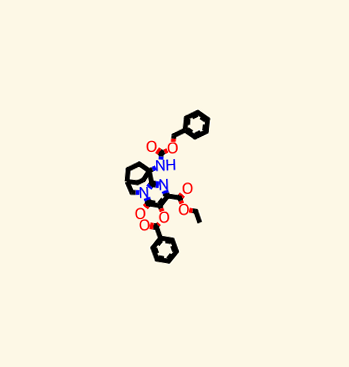 CCOC(=O)c1nc2n(c(=O)c1OC(=O)c1ccccc1)CC1CCC2(NC(=O)OCc2ccccc2)CC1